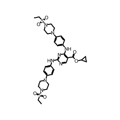 CCS(=O)(=O)N1CCN(c2ccc(Nc3ncc(C(=O)OC4CC4)c(Nc4ccc(N5CCN(S(=O)(=O)CC)CC5)cc4)n3)cc2)CC1